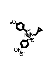 COc1ccc([C@@H](C)N=[S@](=O)(NCC2CC2)c2ccc([N+](=O)[O-])cc2)cc1